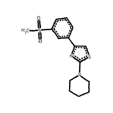 CS(=O)(=O)c1cccc(-c2csc(N3CCCCC3)n2)c1